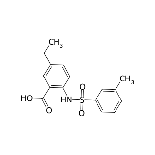 CCc1ccc(NS(=O)(=O)c2cccc(C)c2)c(C(=O)O)c1